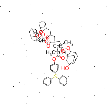 CC1C2CCC(C2)C1CC(CC(C)(CC(C)(CC(C)(C)C(=O)Oc1ccc([S+](c2ccccc2)c2ccccc2)cc1)C(=O)OC1C2CC3CC1CC(O)(C3)C2)C(=O)OC1CCOC1=O)C(=O)OC1(C)C2CC3CC(C2)CC1C3